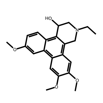 CCN1Cc2c(c3ccc(OC)cc3c3cc(OC)c(OC)cc23)C(O)C1